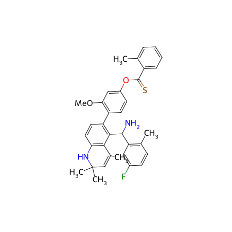 COc1cc(OC(=S)c2ccccc2C)ccc1-c1ccc2c(c1C(N)c1cc(F)ccc1C)C(C)=CC(C)(C)N2